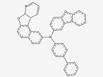 C1=CC2c3c(ccc4ccc(N(c5ccc(-c6ccccc6)cc5)c5ccc6oc7ccccc7c6c5)cc34)OC2N=C1